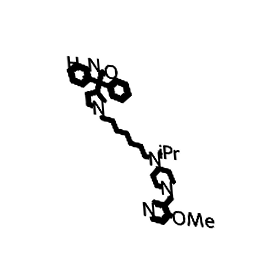 COc1ccncc1CN1CCC(N(CCCCCCCN2CCC(C(C(N)=O)(c3ccccc3)c3ccccc3)C2)C(C)C)CC1